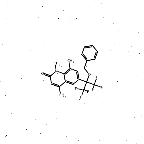 Cc1cc(=O)n(C)c2c(C)cc(C(OCc3ccccc3)(C(F)(F)F)C(F)(F)F)cc12